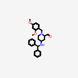 COc1ccc(CN2CCC(NC(c3ccccc3)c3ccccc3)CC2C=O)c(OC)c1